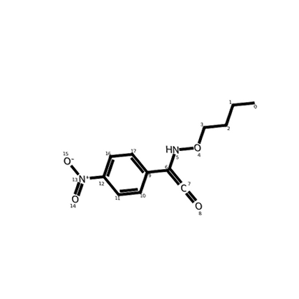 CCCCONC(=C=O)c1ccc([N+](=O)[O-])cc1